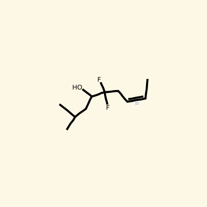 C/C=C\CC(F)(F)C(O)CC(C)C